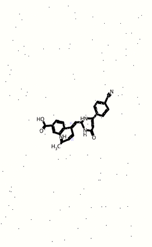 CC(=N)/C=C\C(=C/C1NC(=O)C=C(c2ccc(C#N)cc2)N1)c1ccc(C(=O)O)cc1